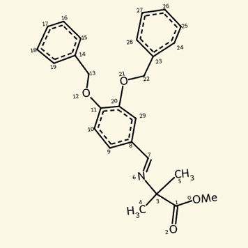 COC(=O)C(C)(C)N=Cc1ccc(OCc2ccccc2)c(OCc2ccccc2)c1